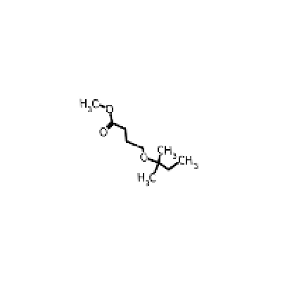 CCC(C)(C)OCCCC(=O)OC